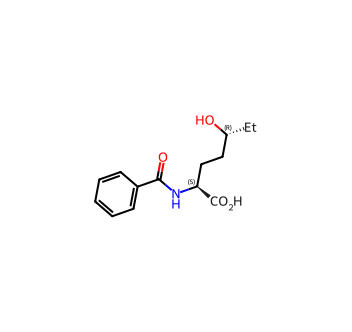 CC[C@@H](O)CC[C@H](NC(=O)c1ccccc1)C(=O)O